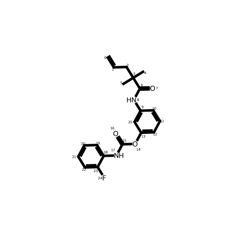 C=CCC(C)(C)C(=O)Nc1cccc(OC(=O)Nc2ccccc2F)c1